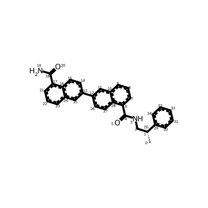 C[C@H](CNC(=O)c1cccc2cc(-c3ccc4c(C(N)=O)cccc4c3)ccc12)c1ccccc1